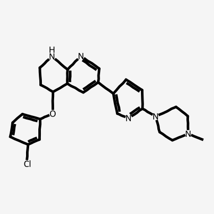 CN1CCN(c2ccc(-c3cnc4c(c3)C(Oc3cccc(Cl)c3)CCN4)cn2)CC1